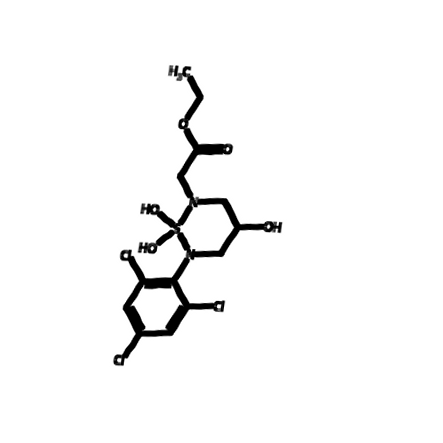 CCOC(=O)CN1CC(O)CN(c2c(Cl)cc(Cl)cc2Cl)S1(O)O